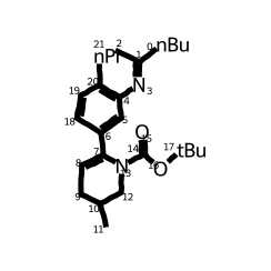 CCCC/C(C)=N/c1cc(C2=CCC(C)CN2C(=O)OC(C)(C)C)ccc1CCC